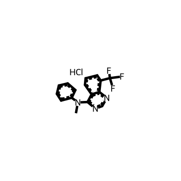 CN(c1ccccc1)c1ncnc2c(C(F)(F)F)cccc12.Cl